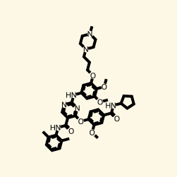 COc1cc(C(=O)NC2CCCC2)ccc1Oc1nc(Nc2cc(OC)c(OC)c(OCCCN3CCN(C)CC3)c2)ncc1C(=O)Nc1c(C)cccc1C